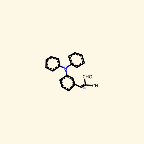 N#C/C(C=O)=C/c1cccc(N(c2ccccc2)c2ccccc2)c1